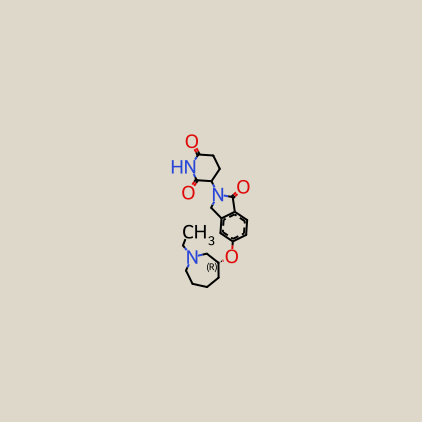 CCN1CCCC[C@@H](Oc2ccc3c(c2)CN(C2CCC(=O)NC2=O)C3=O)C1